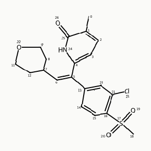 Cc1ccc(/C(=C\C2CCOCC2)c2ccc(S(C)(=O)=O)c(Cl)c2)[nH]c1=O